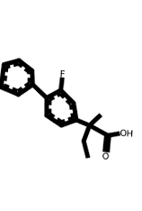 CCC(C)(C(=O)O)c1ccc(-c2ccccc2)c(F)c1